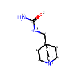 NC(=O)NCC12CCN(CC1)CC2